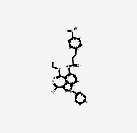 CCOC(=O)c1c(NC(=O)CCc2ccc([N+](=O)[O-])cc2)ccc2c1c(C(=O)O)cn2-c1ccccc1